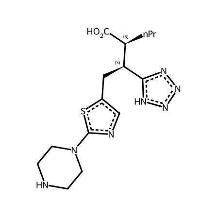 CCC[C@H](C(=O)O)[C@H](Cc1cnc(N2CCNCC2)s1)c1nnn[nH]1